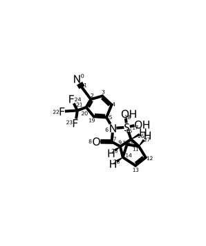 N#Cc1ccc(N2C(=O)[C@@H]3[C@@H]([C@@H]4C=C[C@H]3C4)S2(O)O)cc1C(F)(F)F